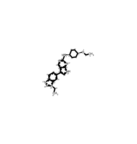 CCO[C@H]1CC[C@@H](Nc2ncc3c(-c4ccc5nnn(CC)c5c4)c[nH]c3n2)CC1